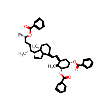 C=C1/C(=C\C=C2CCC[C@@]3(C)C2CC[C@@H]3[C@H](C)CC[C@@H](OC(=O)c2ccccc2)C(C)C)C[C@H](OC(=O)c2ccccc2)C[C@H]1OC(=O)c1ccccc1